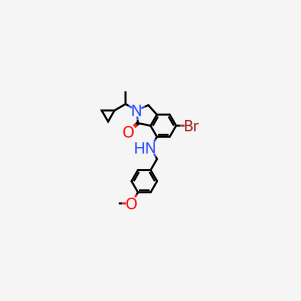 COc1ccc(CNc2cc(Br)cc3c2C(=O)N(C(C)C2CC2)C3)cc1